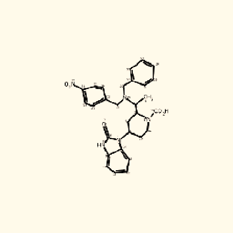 CC(C1CC(n2c(=O)[nH]c3ccccc32)CCN1C(=O)O)N(Cc1ccccc1)Cc1ccc([N+](=O)[O-])cc1